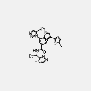 CCC(NC(=O)c1cc(-n2nncc2C(C)C)c2ncc(-c3ccc(C)s3)n2c1)c1nnc[nH]1